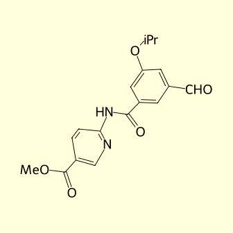 COC(=O)c1ccc(NC(=O)c2cc(C=O)cc(OC(C)C)c2)nc1